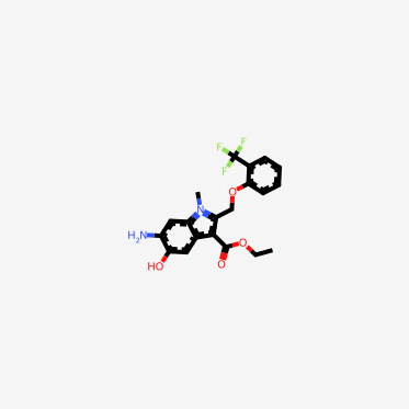 CCOC(=O)c1c(COc2ccccc2C(F)(F)F)n(C)c2cc(N)c(O)cc12